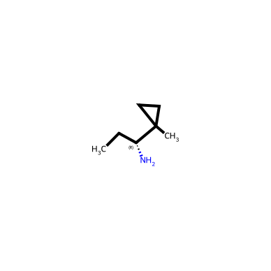 CC[C@@H](N)C1(C)CC1